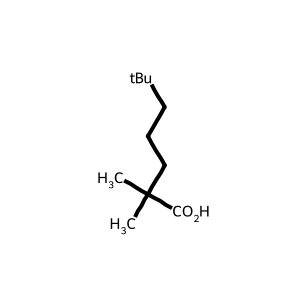 CC(C)(C)CCCC(C)(C)C(=O)O